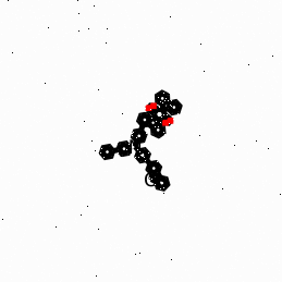 c1ccc(-c2ccc(N(c3ccc(-c4ccc5c(c4)oc4ccccc45)cc3)c3ccc(-c4cccc5c4-c4ccccc4C54c5ccccc5C(c5ccccc5)(c5ccccc5)c5ccccc54)cc3)cc2)cc1